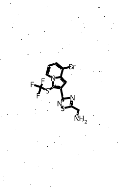 NCc1nc(-c2cc3c(Br)cccn3c2SC(F)(F)F)ns1